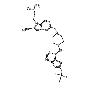 N#Cc1cc2cc(CN3CCC(Nc4ncnc5sc(CC(F)(F)F)cc45)CC3)ccc2n1CCC(N)=O